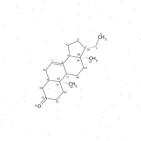 CC[C@H]1CCC2C3=CCC4CC(=O)CC[C@]4(C)C3CC[C@@]21C